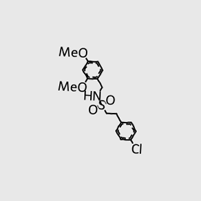 COc1ccc(CNS(=O)(=O)CCc2ccc(Cl)cc2)c(OC)c1